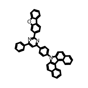 c1ccc(-c2cc(-c3ccc(-n4c5ccc6ccccc6c5c5c6ccccc6ccc54)cc3)nc(-c3ccc4c(c3)oc3ccccc34)n2)cc1